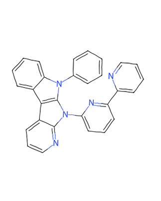 c1ccc(-n2c3ccccc3c3c4cccnc4n(-c4cccc(-c5ccccn5)n4)c32)cc1